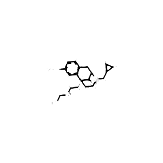 COc1ccc2c(c1)[C@@]1(CCNCC(C)C)CCN(CC3CC3)C(C2)[C@@H]1C